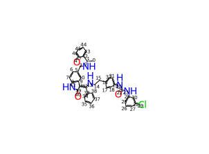 C[C@@H](NC(=O)c1ccc2c(c1)C(=C(NCCc1ccc(NC(=O)Nc3cccc(Cl)c3)cc1)c1ccccc1)C(=O)N2)c1ccccc1